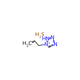 C=CC[n+]1cnn[nH]1.S